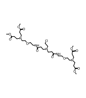 COC(=O)CCN(CCOCCNC(=O)CCN(CCCl)CCC(=O)NCCOCCN(CCC(=O)OC)CCC(=O)OC)CCC(=O)OC